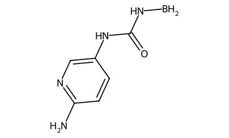 BNC(=O)Nc1ccc(N)nc1